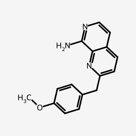 COc1ccc(Cc2ccc3ccnc(N)c3n2)cc1